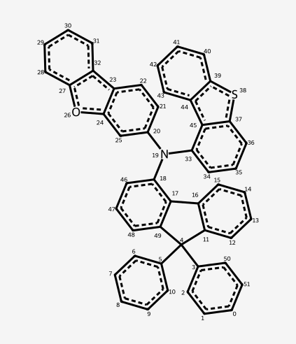 c1ccc(C2(c3ccccc3)c3ccccc3-c3c(N(c4ccc5c(c4)oc4ccccc45)c4cccc5sc6ccccc6c45)cccc32)cc1